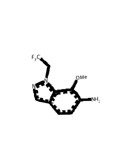 COc1c(N)ccc2cnn(CC(F)(F)F)c12